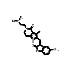 Bc1ccc2c(c1)/C(=C/c1[nH]c3c(c1C)C(=O)N(CCN(CC)CC)CC3)C(=O)N2